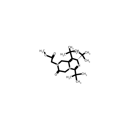 COC(=O)CN1CC2=C(C(C)(C)C)[C@H](C(C)(C)C)N=C(C(C)(C)C)N2CC1=O